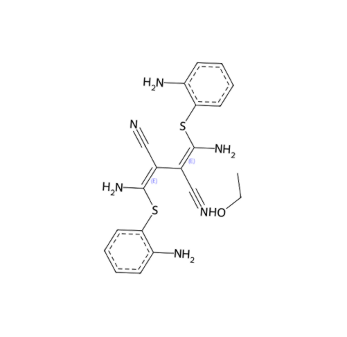 CCO.N#CC(=C(\N)Sc1ccccc1N)/C(C#N)=C(/N)Sc1ccccc1N